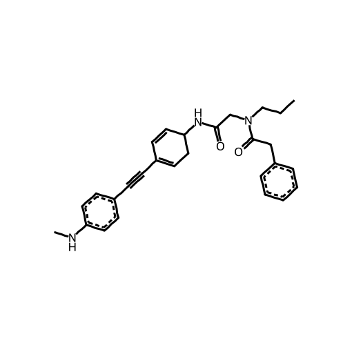 CCCN(CC(=O)NC1C=CC(C#Cc2ccc(NC)cc2)=CC1)C(=O)Cc1ccccc1